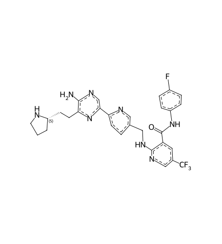 Nc1ncc(-c2ccc(CNc3ncc(C(F)(F)F)cc3C(=O)Nc3ccc(F)cc3)cn2)nc1CC[C@@H]1CCCN1